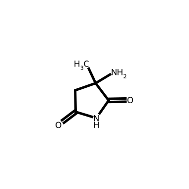 CC1(N)CC(=O)NC1=O